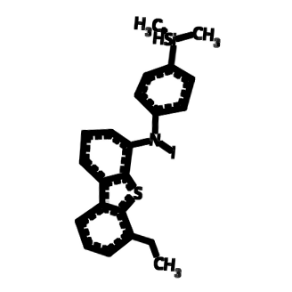 CCc1cccc2c1sc1c(N(I)c3ccc([SiH](C)C)cc3)cccc12